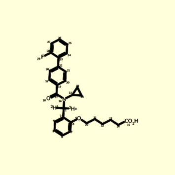 [2H]C([2H])(c1ccccc1OCCCCCC(=O)O)N(C(=O)c1ccc(-c2ccccc2F)cc1)C1CC1